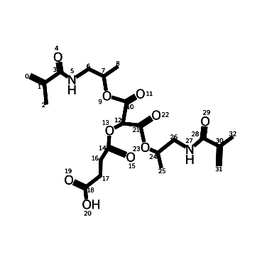 C=C(C)C(=O)NCC(C)OC(=O)C(OC(=O)CCC(=O)O)C(=O)OC(C)CNC(=O)C(=C)C